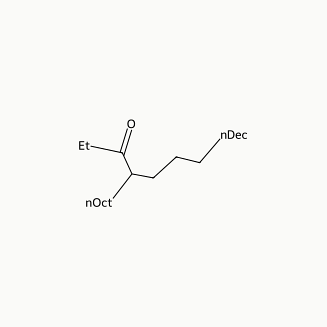 CCCCCCCCCCCCCC(CCCCCCCC)C(=O)CC